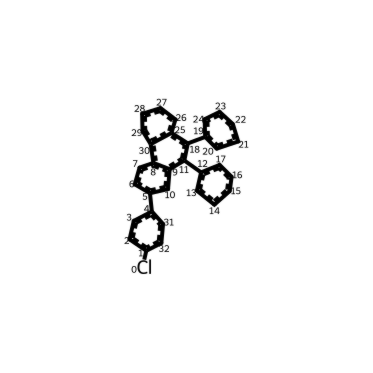 Clc1ccc(-c2ccc3c(c2)c(-c2ccccc2)c(-c2ccccc2)c2ccccc23)cc1